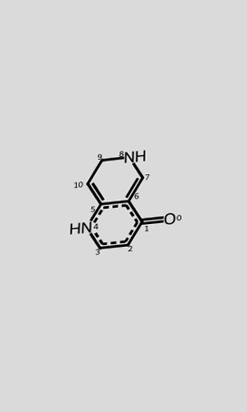 O=c1cc[nH]c2c1=CNCC=2